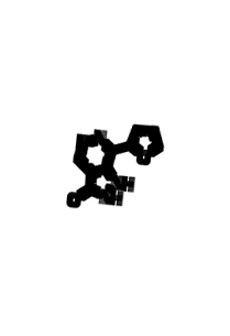 O=c1[nH][nH]c2c(-c3ccco3)nncc12